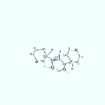 CO/C(=C(/C)C(OC)C1(C)CCCCC1)C1(C)CCCCC1